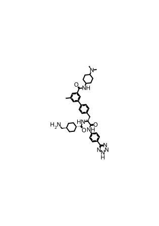 Cc1cc(C(=O)NC2CCC(N(C)C)CC2)cc(-c2ccc(C[C@H](NC(=O)[C@H]3CC[C@H](CN)CC3)C(=O)Nc3ccc(-c4nn[nH]n4)cc3)cc2)c1